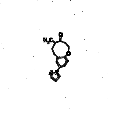 CC1CCc2cc(-n3cccn3)ccc2OCCC1=O